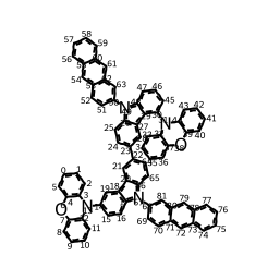 c1ccc2c(c1)Oc1ccccc1N2c1ccc2c(c1)c1cc(-c3ccc4c(c3)c3c(N5c6ccccc6Oc6ccccc65)cccc3n4-c3ccc4cc5ccccc5cc4c3)ccc1n2-c1ccc2cc3ccccc3cc2c1